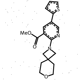 COC(=O)c1cc(-c2cccs2)cnc1N1CC2(CCOCC2)C1